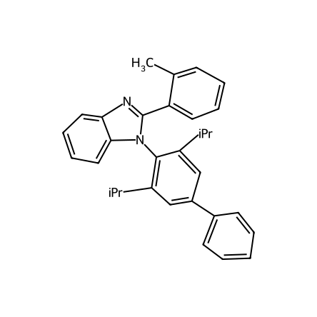 Cc1ccccc1-c1nc2ccccc2n1-c1c(C(C)C)cc(-c2ccccc2)cc1C(C)C